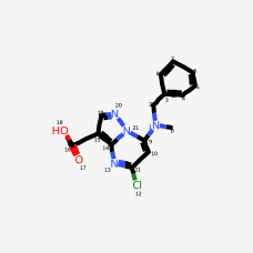 CN(Cc1ccccc1)c1cc(Cl)nc2c(C(=O)O)cnn12